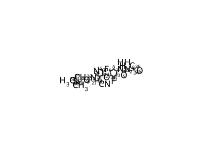 CC1(CNC(=O)Nc2cc(F)c(Oc3ccnc4c3c(C#N)cn4COCC[Si](C)(C)C)c(F)c2)COC1